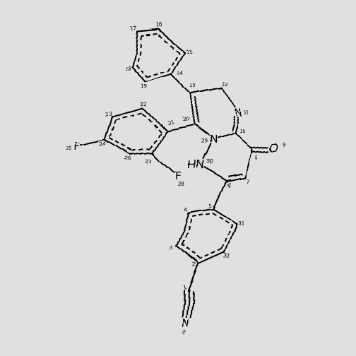 N#Cc1ccc(C2=CC(=O)C3=NCC(c4ccccc4)=C(c4ccc(F)cc4F)N3N2)cc1